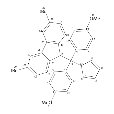 COc1ccc(C(c2ccc(OC)cc2)(C2C=CC=C2)C2c3ccc(C(C)(C)C)cc3-c3cc(C(C)(C)C)ccc32)cc1